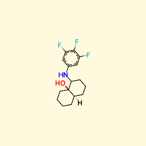 O[C@]12CCCC[C@@H]1CCCC2Nc1cc(F)c(F)c(F)c1